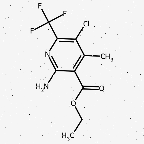 CCOC(=O)c1c(N)nc(C(F)(F)F)c(Cl)c1C